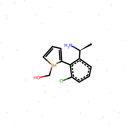 C[C@H](N)c1cccc(Cl)c1C1=CC=C[SH]1CO